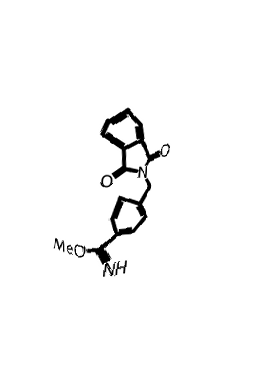 COC(=N)c1ccc(CN2C(=O)c3ccccc3C2=O)cc1